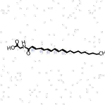 CCCCCCCCC/C=C/C=C/C=C/C=C/C=C/C(=O)NCC(=O)O